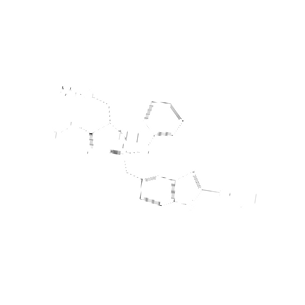 COCC(NP(=O)(Cc1ccc2sc(C(=O)O)cc2c1)Oc1ccccc1)C(=O)OC(C)C